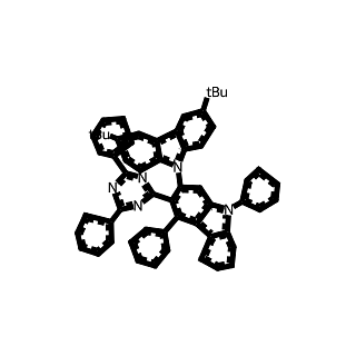 CC(C)(C)c1ccc2c(c1)c1cc(C(C)(C)C)ccc1n2-c1cc2c(c(-c3ccccc3)c1-c1nc(-c3ccccc3)nc(-c3ccccc3)n1)c1ccccc1n2-c1ccccc1